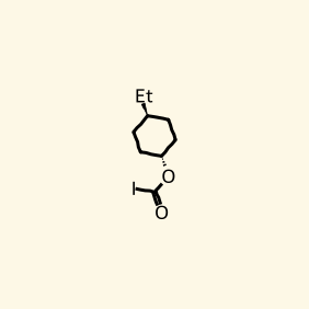 CC[C@H]1CC[C@H](OC(=O)I)CC1